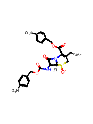 COCC1=C(C(=O)OCc2ccc([N+](=O)[O-])cc2)N2C(=O)C(NC(=O)OCc3ccc([N+](=O)[O-])cc3)[C@@H]2[S+]([O-])C1